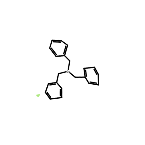 F.c1ccc(C[Si](Cc2ccccc2)Cc2ccccc2)cc1